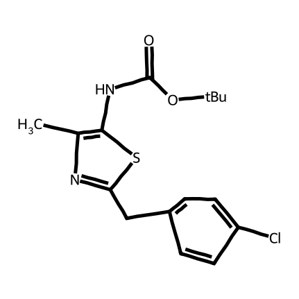 Cc1nc(Cc2ccc(Cl)cc2)sc1NC(=O)OC(C)(C)C